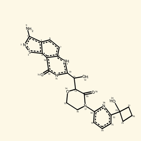 Nc1nsc2c1ccc1[nH]c(C(O)C3OCCN(c4cccc(C5(O)CCC5)n4)C3=O)nc(=O)c12